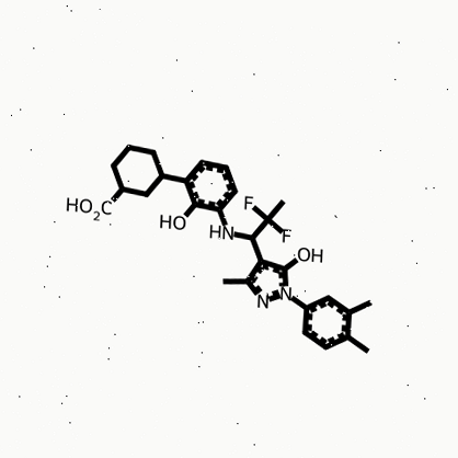 Cc1ccc(-n2nc(C)c(C(Nc3cccc(C4CCCC(C(=O)O)C4)c3O)C(C)(F)F)c2O)cc1C